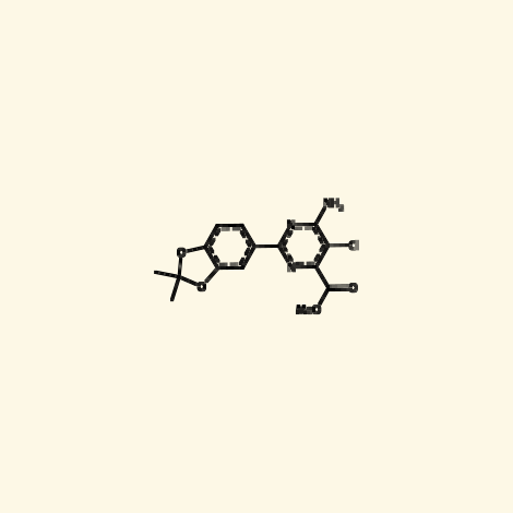 COC(=O)c1nc(-c2ccc3c(c2)OC(C)(C)O3)nc(N)c1Cl